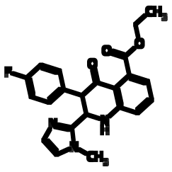 CCOC(=O)c1cccc2c1C(=O)C(c1ccc(F)cc1)C(c1nccn1C)N2